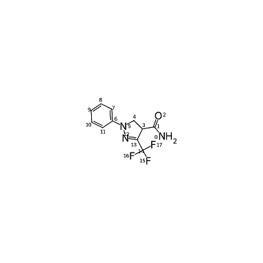 NC(=O)C1CN(c2ccccc2)N=C1C(F)(F)F